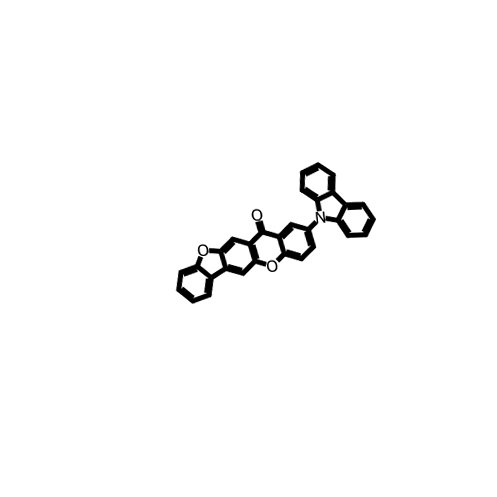 O=c1c2cc(-n3c4ccccc4c4ccccc43)ccc2oc2cc3c(cc12)oc1ccccc13